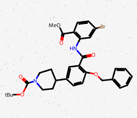 COC(=O)c1ccc(Br)cc1NC(=O)c1cc(C2CCN(C(=O)OC(C)(C)C)CC2)ccc1OCc1ccccc1